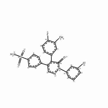 Cc1cc(-c2c(-c3ccc(S(N)(=O)=O)cc3)cnn(-c3cccc(Cl)c3)c2=O)ccc1F